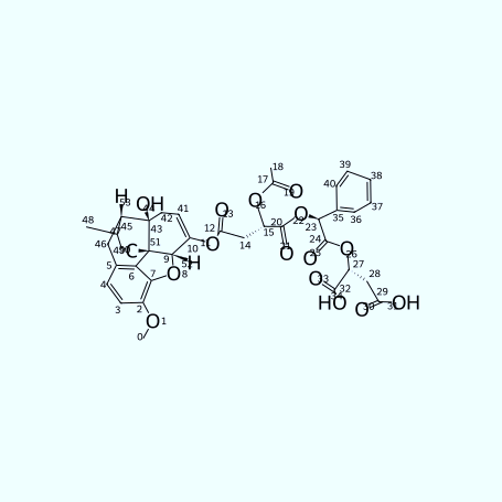 COc1ccc2c3c1O[C@H]1C(OC(=O)C[C@H](OC(C)=O)C(=O)O[C@H](C(=O)O[C@H](CC(=O)O)C(=O)O)c4ccccc4)=CC[C@@]4(O)[C@@H](C2)C(C)CC[C@]314